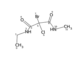 CCNC(=O)C(Cl)(Br)C(=O)NC